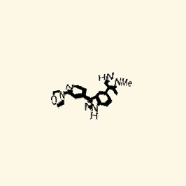 CN/C(C)=C(\C=N)c1ccc2[nH]nc(-c3ccnc(N4CCOCC4)c3)c2c1